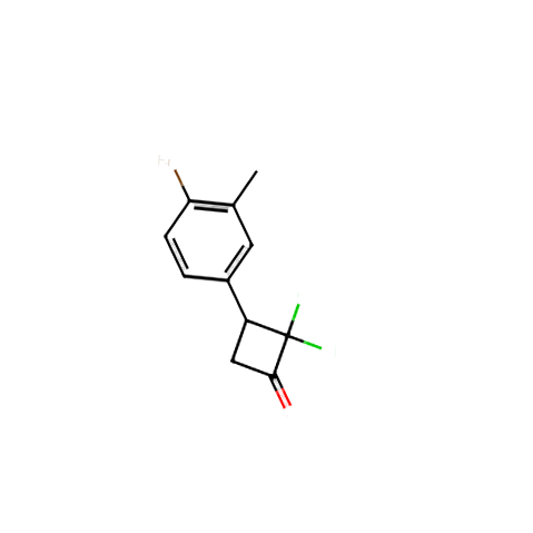 Cc1cc(C2CC(=O)C2(Cl)Cl)ccc1Br